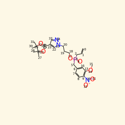 C=CCP(=O)(Cc1ccc([N+](=O)[O-])c(OC)c1)OCCCn1cc(B2OC(C)(C)C(C)(C)O2)cn1